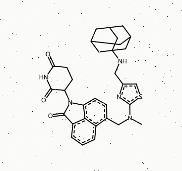 CN(Cc1ccc2c3c(cccc13)C(=O)N2C1CCC(=O)NC1=O)c1nc(CNC23CC4CC(CC(C4)C2)C3)cs1